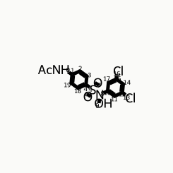 CC(=O)Nc1ccc(S(=O)(=O)N(O)c2cc(Cl)cc(Cl)c2)cc1